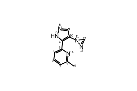 Cc1cccc(-c2[nH]ncc2N2C=N2)n1